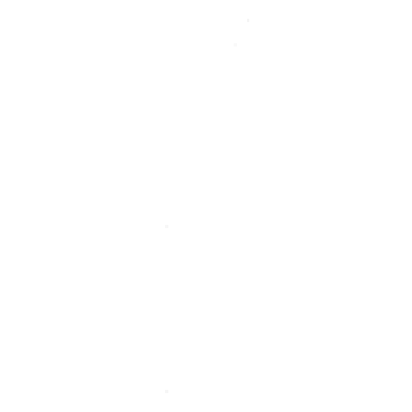 CC(=O)Oc1ccc(-c2nc3sc(-c4ccc(OC(C)=O)cc4)nc3s2)cc1